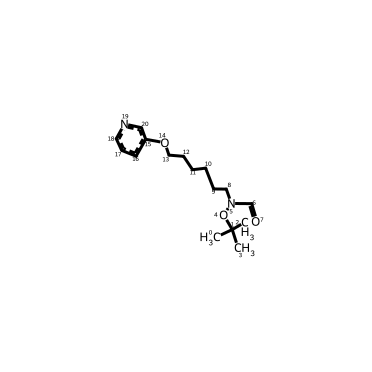 CC(C)(C)ON(C=O)CCCCCCOc1cccnc1